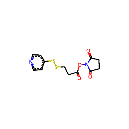 O=C(CCSSc1ccncc1)ON1C(=O)CCC1=O